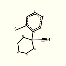 N#CC1(c2ccccc2Br)CCCCC1